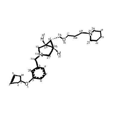 C1=CCC(Oc2cccc(CN3C[C@@H]4[C@H](COCCCN5CCCCC5)[C@@H]4C3)c2)C1